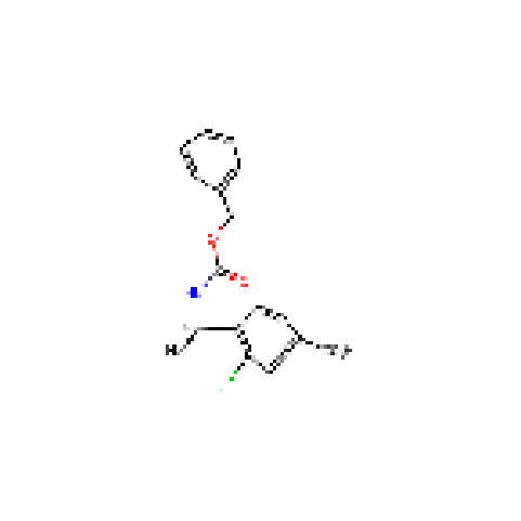 C[C@@H](NC(=O)OCc1ccccc1)c1ccc(C(=O)O)cc1Cl